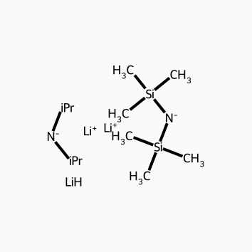 CC(C)[N-]C(C)C.C[Si](C)(C)[N-][Si](C)(C)C.[Li+].[Li+].[LiH]